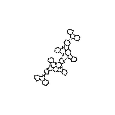 c1ccc2c(c1)B1c3cc4c(cc3-n3c5ccccc5c5cc6c7cc(-n8c9ccccc9c9ccccc98)ccc7n-2c6c1c53)-n1c2ccccc2c2cc3c5cc(-n6c7ccccc7c7ccccc76)ccc5n5c3c(c21)B4c1ccccc1-5